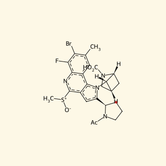 CC(=O)N1CCC[C@@H]1c1cc2c([S+](C)[O-])nc3c(F)c(Br)c(C)cc3c2n1[C@H]1[C@@H]2C[C@H]1N(C(=O)O)C2